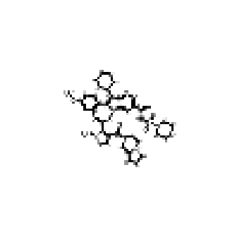 COc1ccc2c(c1)C=C(c1c(C(=O)N3CCN4CCCC4C3)cnn1C)Cn1c-2c(C2CCCCC2)c2ccc(C(=O)NS(=O)(=O)N3CCOCC3)cc21